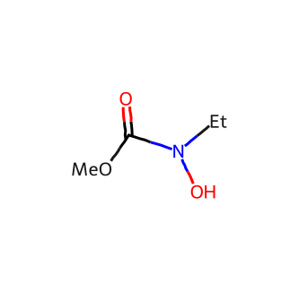 CCN(O)C(=O)OC